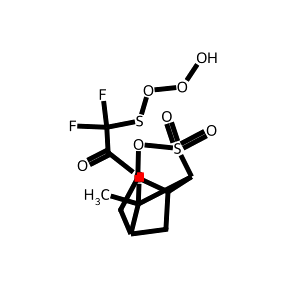 CC1(OC(=O)C(F)(F)SOOO)C2CC3OS(=O)(=O)C1C3C2